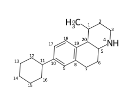 CC1CCNC2CCc3cc(C4CCCCC4)ccc3C12